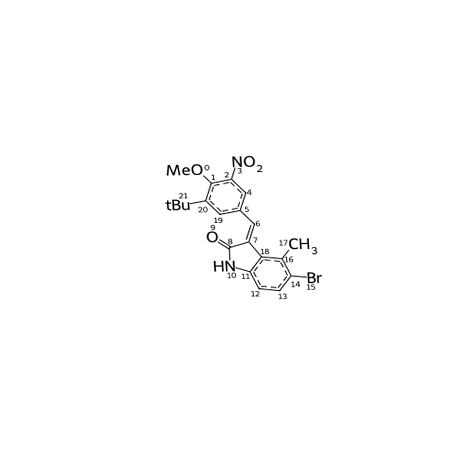 COc1c([N+](=O)[O-])cc(C=C2C(=O)Nc3ccc(Br)c(C)c32)cc1C(C)(C)C